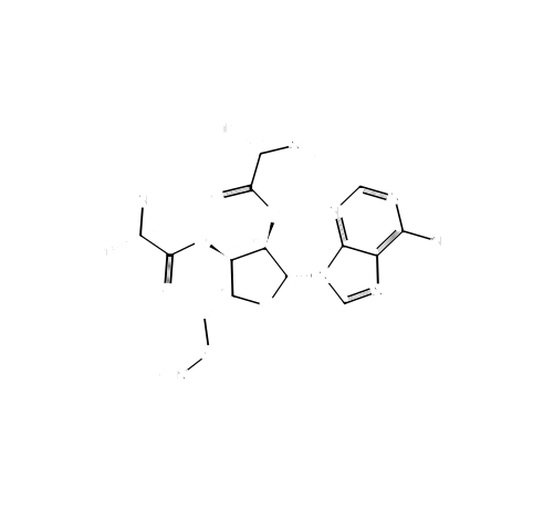 CC(C)[C@H](N)C(=O)O[C@@H]1[C@H](OC(=O)[C@@H](N)C(C)C)[C@@H](CO[N+](=O)[O-])O[C@H]1n1cnc2c(N)ncnc21